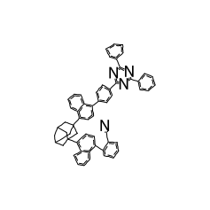 N#Cc1ccccc1-c1ccc(C23CC4CC(CC(c5ccc(-c6ccc(-c7nc(-c8ccccc8)nc(-c8ccccc8)n7)cc6)c6ccccc56)(C4)C2)C3)c2ccccc12